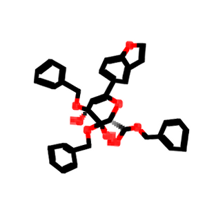 OC(OCc1ccccc1)[C@H]1OC(c2ccc3occc3c2)=C[C@](O)(OCc2ccccc2)[C@@]1(O)OCc1ccccc1